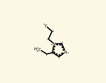 CCc1[c]n[c]n1CCF